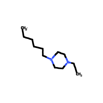 [CH2]CCCCCN1CCN(CC)CC1